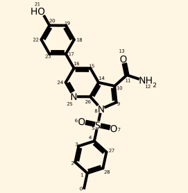 Cc1ccc(S(=O)(=O)n2cc(C(N)=O)c3cc(-c4ccc(O)cc4)cnc32)cc1